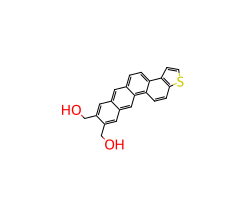 OCc1cc2cc3ccc4c5ccsc5ccc4c3cc2cc1CO